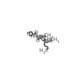 C=C(C[C@H](NCC)C(=O)NNC(=O)c1ccncc1)C(/C=C\C=C/C)=C\NCC